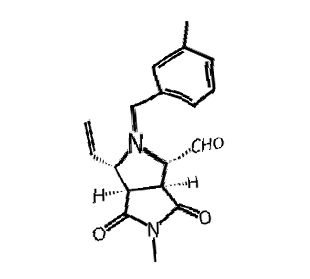 C=C[C@H]1[C@@H]2C(=O)N(C)C(=O)[C@@H]2[C@@H](C=O)N1Cc1cccc(C)c1